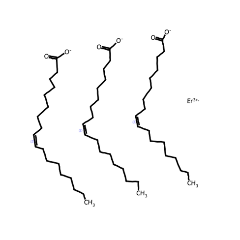 CCCCCCCC/C=C\CCCCCCCC(=O)[O-].CCCCCCCC/C=C\CCCCCCCC(=O)[O-].CCCCCCCC/C=C\CCCCCCCC(=O)[O-].[Er+3]